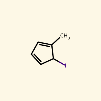 CC1=CC=CC1I